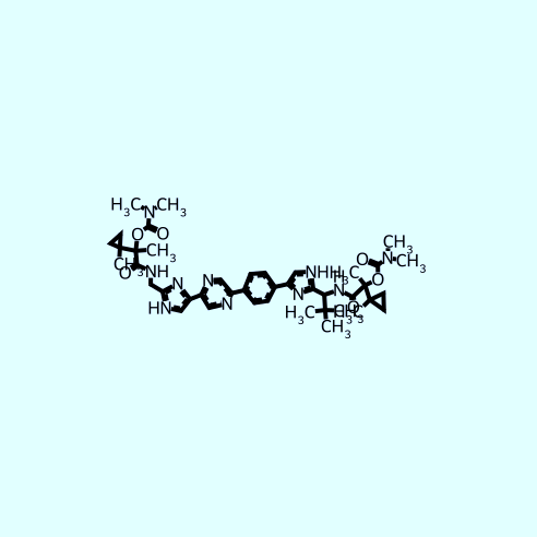 CN(C)C(=O)OC(C)(C(=O)NCc1nc(-c2cnc(-c3ccc(-c4c[nH]c(C(NC(=O)C(C)(OC(=O)N(C)C)C5(C)CC5)C(C)(C)C)n4)cc3)cn2)c[nH]1)C1(C)CC1